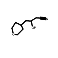 N#CCC(O)CC1CCOCC1